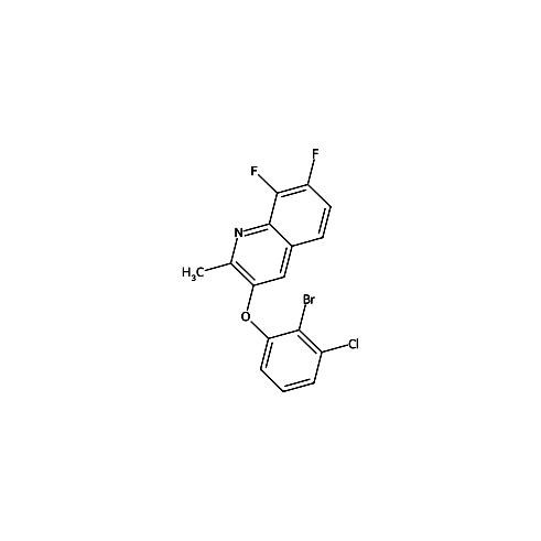 Cc1nc2c(F)c(F)ccc2cc1Oc1cccc(Cl)c1Br